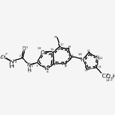 CCNC(=O)Nc1nc2cc(-n3cnc(C(=O)O)c3)cc(C)c2o1